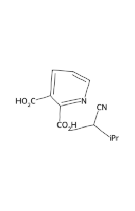 CC(C)C(C)C#N.O=C(O)c1cccnc1C(=O)O